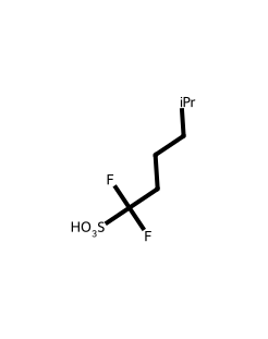 CC(C)CCCC(F)(F)S(=O)(=O)O